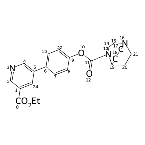 CCOC(=O)c1cncc(-c2ccc(OC(=O)N3CCN4CCC3CC4)cc2)c1